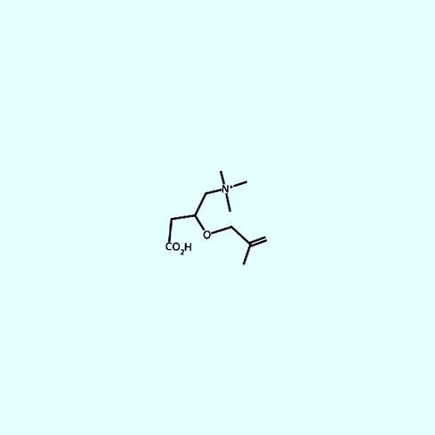 C=C(C)COC(CC(=O)O)C[N+](C)(C)C